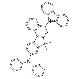 CC1(C)c2cc(N(c3ccccc3)c3ccccc3)ccc2-c2c1cc(-n1c3ccccc3c3ccccc31)c1ccccc21